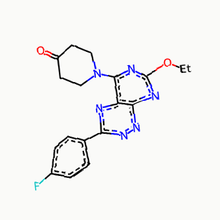 CCOc1nc(N2CCC(=O)CC2)c2nc(-c3ccc(F)cc3)nnc2n1